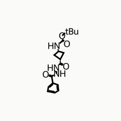 CC(C)(C)OC(=O)N[C@H]1C[C@@H](C(=O)NNC(=O)c2ccccc2)C1